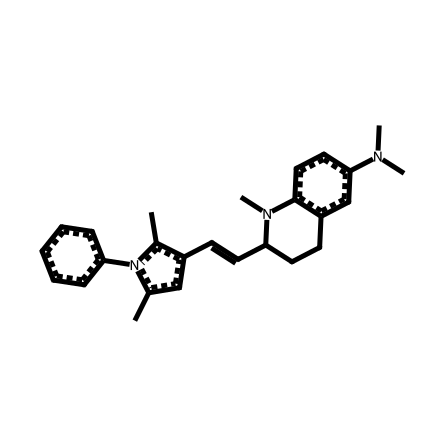 Cc1cc(C=CC2CCc3cc(N(C)C)ccc3N2C)c(C)n1-c1ccccc1